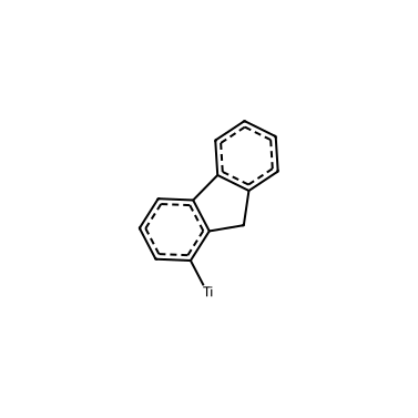 [Ti][c]1cccc2c1Cc1ccccc1-2